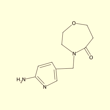 Nc1ccc(CN2CCOCCC2=O)cn1